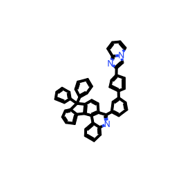 c1ccc(C2(c3ccccc3)c3ccccc3-c3c2ccc2c(-c4cccc(-c5ccc(-c6cn7ccccc7n6)cc5)c4)nc4ccccc4c32)cc1